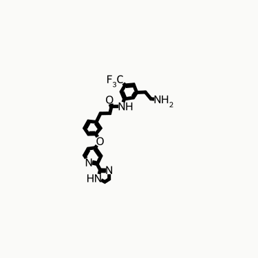 NCCc1cc(NC(=O)CCc2cccc(Oc3ccnc(C4=NCCN4)c3)c2)cc(C(F)(F)F)c1